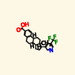 C[C@]12CC[C@@H]3c4ccc(C(=O)O)cc4CC[C@H]3[C@@H]1CC[C@@H]2c1cncc(C(F)(F)F)c1